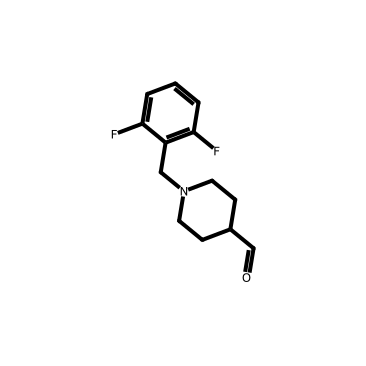 O=CC1CCN(Cc2c(F)cccc2F)CC1